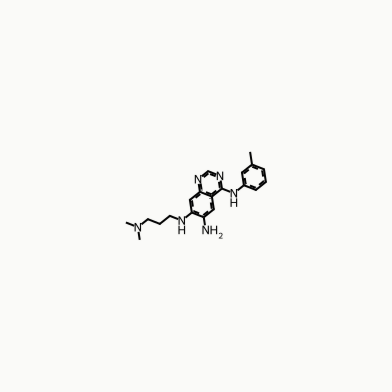 Cc1cccc(Nc2ncnc3cc(NCCCN(C)C)c(N)cc23)c1